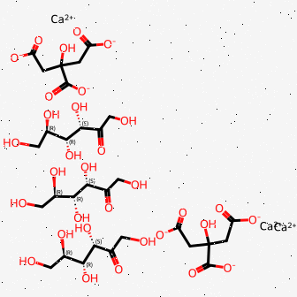 O=C(CO)[C@@H](O)[C@H](O)[C@H](O)CO.O=C(CO)[C@@H](O)[C@H](O)[C@H](O)CO.O=C(CO)[C@@H](O)[C@H](O)[C@H](O)CO.O=C([O-])CC(O)(CC(=O)[O-])C(=O)[O-].O=C([O-])CC(O)(CC(=O)[O-])C(=O)[O-].[Ca+2].[Ca+2].[Ca+2]